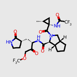 C[C@@H]1C[C@@]1(NC(=O)C(F)(F)F)C(=O)N1C[C@@H]2CCC[C@@H]2[C@H]1C(=O)N[C@@H](C[C@@H]1CCNC1=O)C(=O)COC(F)(F)F